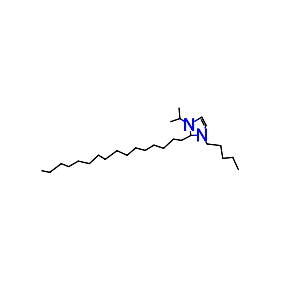 CCCCCCCCCCCCCCCCC1N(CCCCC)C=CN1C(C)C